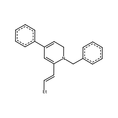 CCC=CC1=CC(c2ccccc2)=CCN1Cc1ccccc1